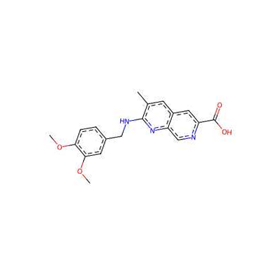 COc1ccc(CNc2nc3cnc(C(=O)O)cc3cc2C)cc1OC